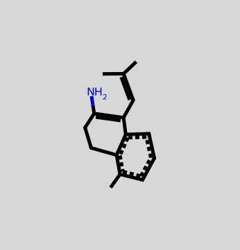 CC(C)=CC1=C(N)CCc2c(C)cccc21